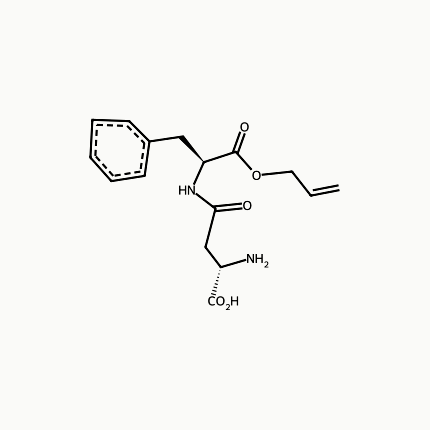 C=CCOC(=O)[C@H](Cc1ccccc1)NC(=O)C[C@H](N)C(=O)O